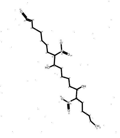 CCCCCC(C(O)CCCCC(O)C(CCCCCC=C=O)[N+](=O)[O-])[N+](=O)[O-]